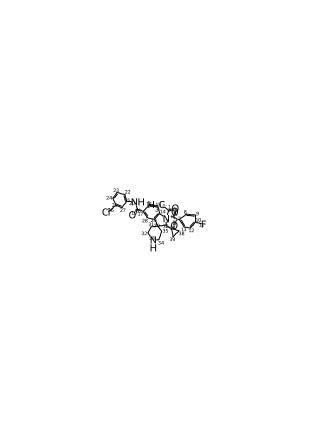 CC(=O)[N+]1(S(=O)(=O)c2ccc(F)cc2)c2ccc(C(=O)Nc3cccc(Cl)c3)cc2C2(CCNCC2)C1C1CC1